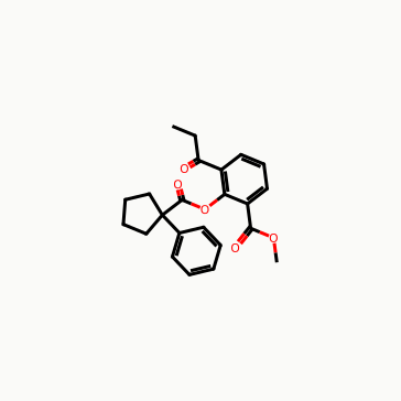 CCC(=O)c1cccc(C(=O)OC)c1OC(=O)C1(c2ccccc2)CCCC1